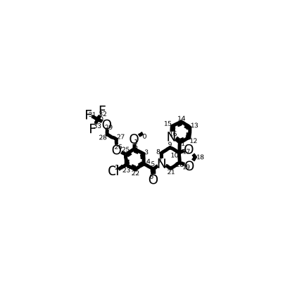 COc1cc(C(=O)N2CCC3(c4ccccn4)OCOC3C2)cc(Cl)c1OCCOC(F)(F)F